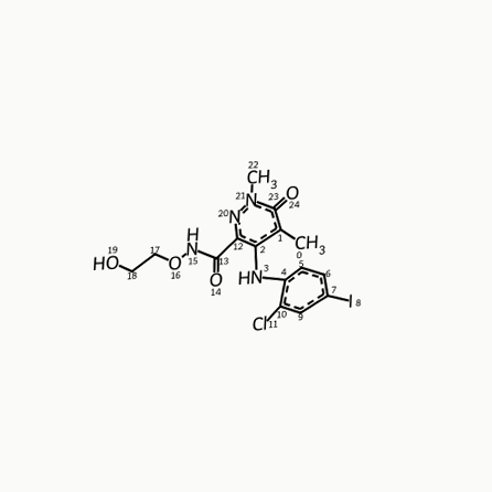 Cc1c(Nc2ccc(I)cc2Cl)c(C(=O)NOCCO)nn(C)c1=O